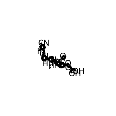 N#Cc1ccc(COc2cccc(C3CCN(CC4(N)Nc5ccc(C(=O)OCC(CO)CO)cc5N4C[C@@H]4CCO4)CC3)n2)c(F)c1